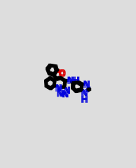 c1ccc2oc(C(Nc3ccc4[nH]cnc4c3)c3nnnn3C3CCCCC3)cc2c1